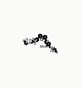 COc1c(CNC[C@H]2CCC(=O)N2)ccc2nc(-c3cccc(-c4cccc(-c5ccn6c(=O)c(CNC[C@@H]7CCC(=O)N7)cnc6c5)c4Cl)c3Cl)ccc12